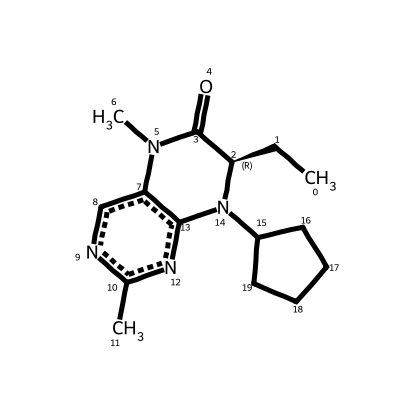 CC[C@@H]1C(=O)N(C)c2cnc(C)nc2N1C1CCCC1